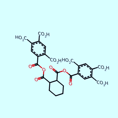 O=C(O)c1cc(C(=O)O)c(C(=O)OC(=O)C2CCCCC2C(=O)OC(=O)c2cc(C(=O)O)c(C(=O)O)cc2C(=O)O)cc1C(=O)O